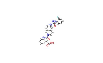 O=C(O)CC1CCCCC1NC(=O)N1CCc2cc(NC(=O)Nc3ccccc3F)ccc2C1